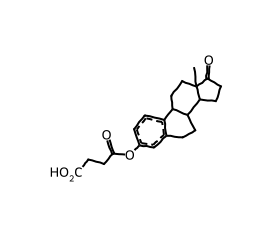 CC12CCC3c4ccc(OC(=O)CCC(=O)O)cc4CCC3C1CCC2=O